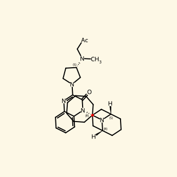 CC(=O)CN(C)[C@H]1CCN(c2nc3ccccc3n([C@H]3C[C@H]4CCC[C@@H](C3)N4C3CCCCCCC3)c2=O)C1